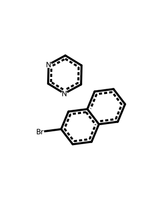 Brc1ccc2ccccc2c1.c1cncnc1